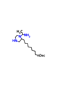 CCCCCCCCCCCCCCCCCCC1CNCCN1C(C)N